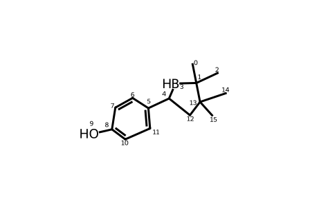 CC1(C)BC(c2ccc(O)cc2)CC1(C)C